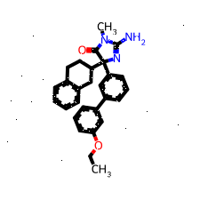 CCOc1cccc(-c2cccc(C3(C4CCc5ccccc5C4)N=C(N)N(C)C3=O)c2)c1